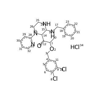 CC(OCc1ccc(Cl)c(Cl)c1)C(=O)C1C(NCc2ccccc2)NCCN1c1ccccn1.Cl